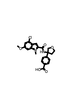 COc1cc(Cl)c2cc(C(=O)NC3(c4ccc(C(=O)O)cc4)CCOC3)n(C)c2c1